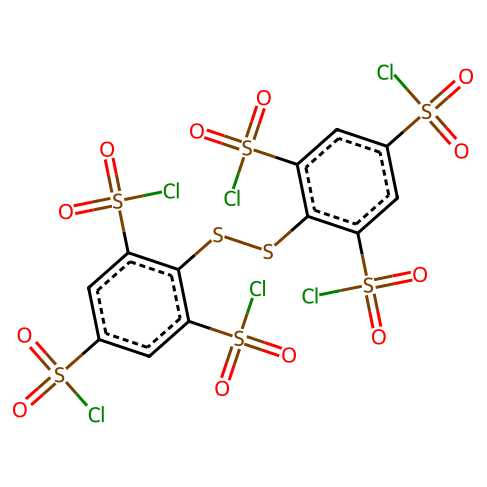 O=S(=O)(Cl)c1cc(S(=O)(=O)Cl)c(SSc2c(S(=O)(=O)Cl)cc(S(=O)(=O)Cl)cc2S(=O)(=O)Cl)c(S(=O)(=O)Cl)c1